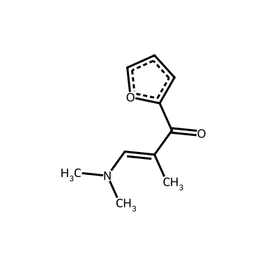 CC(=CN(C)C)C(=O)c1ccco1